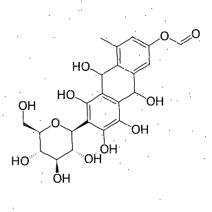 Cc1cc(OC=O)cc2c1C(O)c1c(O)c([C@@H]3O[C@H](CO)[C@@H](O)[C@H](O)[C@H]3O)c(O)c(O)c1C2O